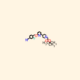 CC(C)(C)OC(=O)CN1CCC(c2cccc(OCc3ccc(C#N)cc3F)n2)CC1